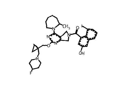 CC1CCCCCN1c1nc(OCC2(CN3CCC(F)CC3)CC2)nc2c1CN(C(=O)c1cc(O)cc3cccc(I)c13)C2